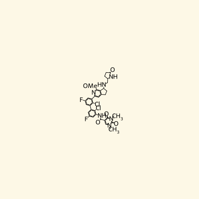 COc1nc(-c2cc(F)cc(-c3cc(F)cc(NC(=O)c4cn(C)c(=O)n(C)c4=O)c3Cl)c2Cl)cc2c1C(NCC1CCC(=O)N1)CC2